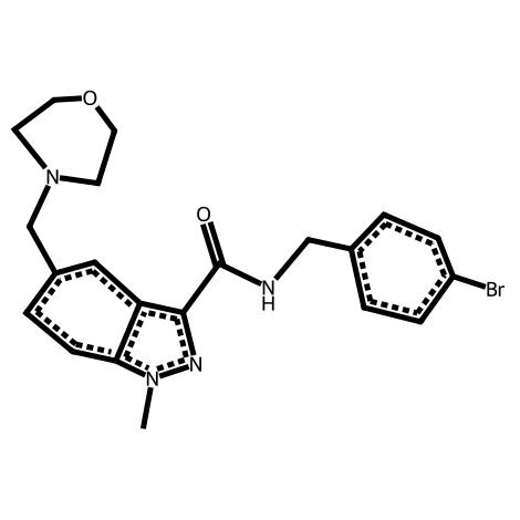 Cn1nc(C(=O)NCc2ccc(Br)cc2)c2cc(CN3CCOCC3)ccc21